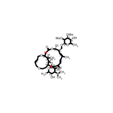 CC[C@H]1OC(=O)C[C@H]2OC/C=C/COCC[C@@H](C[C@@H](C)C(=O)/C=C/C(C)=C/[C@@H]1CO[C@@H]1OC(C)[C@@H](O)[C@H](OC)C1OC)[C@H](O[C@@H]1OC(C)[C@@H](O)C(N(C)C)C1O)[C@H]2C